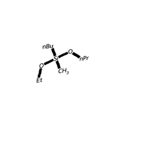 CCCC[Si](C)(OCC)OCCC